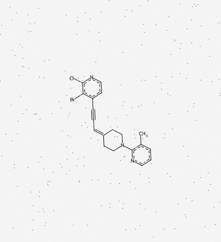 Cc1cccnc1N1CCC(=CC#Cc2ccnc(Cl)c2Br)CC1